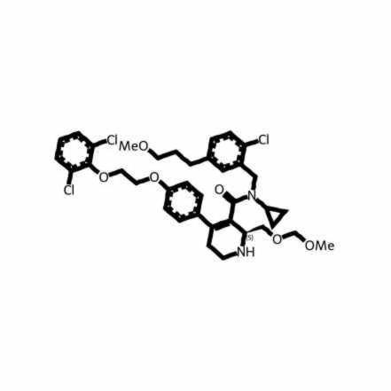 COCCCc1ccc(Cl)c(CN(C(=O)C2=C(c3ccc(OCCOc4c(Cl)cccc4Cl)cc3)CCN[C@@H]2COCOC)C2CC2)c1